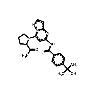 CC(C)(O)c1ccc(C(=O)Nc2cc(N3CCCC3C(N)=O)n3nccc3n2)cc1